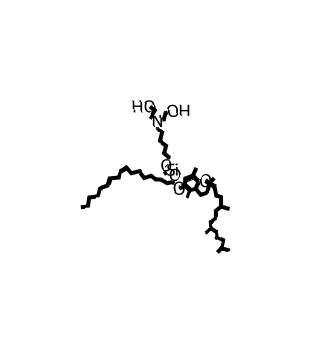 CCCCCCCC/C=C\CCCCCCCC(Oc1cc(C)c2c(c1C)CCC(C)(CCCC(C)CCCC(C)CCCC(C)C)O2)O[Si](C)(C)OCCCCCCN(CCO)CCO